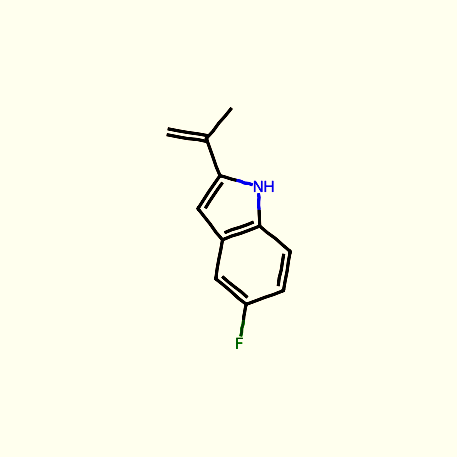 C=C(C)c1cc2cc(F)ccc2[nH]1